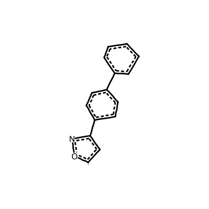 [c]1cc(-c2ccc(-c3ccccc3)cc2)no1